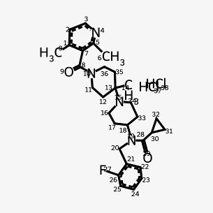 Cc1ccnc(C)c1C(=O)N1CCC(C)(N2CCC(N(Cc3ccccc3F)C(=O)C3CC3)CC2)CC1.Cl.Cl